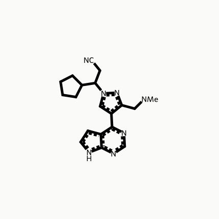 CNCc1nn(C(CC#N)C2CCCC2)cc1-c1ncnc2[nH]ccc12